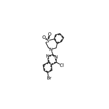 O=S1(=O)CCN(c2nc(Cl)c3cc(Br)ccc3n2)Cc2ccccc21